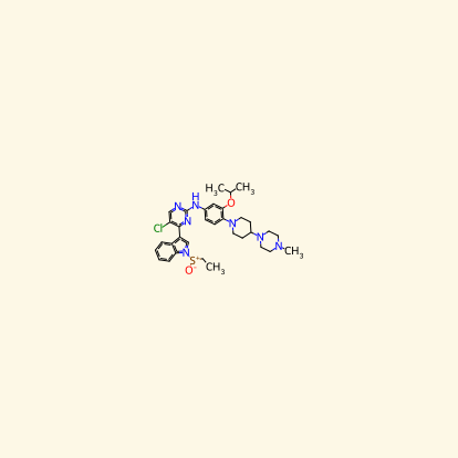 CC[S+]([O-])n1cc(-c2nc(Nc3ccc(N4CCC(N5CCN(C)CC5)CC4)c(OC(C)C)c3)ncc2Cl)c2ccccc21